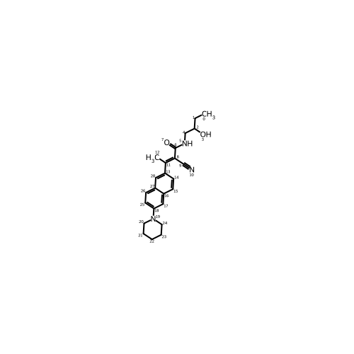 CCC(O)CNC(=O)/C(C#N)=C(\C)c1ccc2cc(N3CCCCC3)ccc2c1